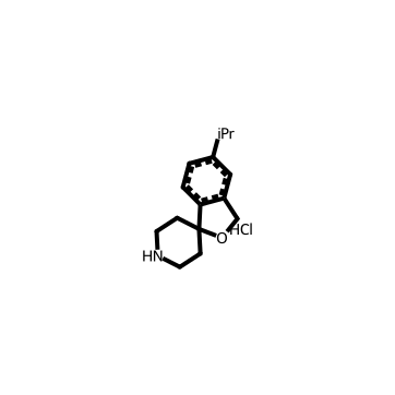 CC(C)c1ccc2c(c1)COC21CCNCC1.Cl